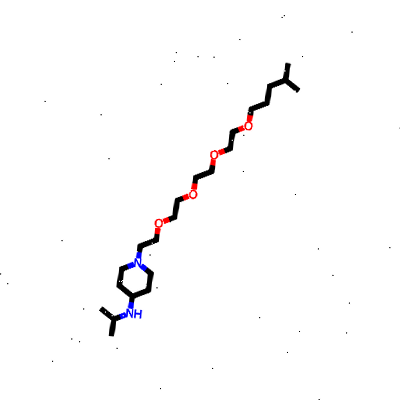 CC(C)CCCOCCOCCOCCOCCN1CCC(NC(C)C)CC1